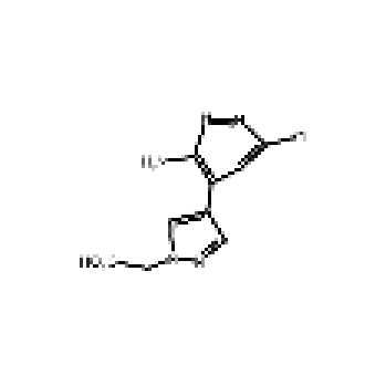 Nc1nnc(Cl)cc1-c1cnn(CC(=O)O)c1